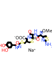 CON=C(C(=O)N[C@@H]1C(=O)N2C(C(=O)[O-])=C(CSc3nnc(-c4ccc(O)c(O)c4)o3)CS[C@@H]12)c1csc(N)n1.[Na+]